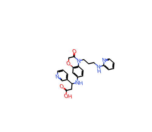 O=C(O)CC(Nc1ccc2c(c1)OCC(=O)N2CCCNc1ccccn1)c1cccnc1